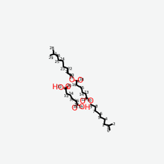 CC(C)CCCCCCCOC(=O)CCCCC(=O)OCCCCCCCC(C)C.O=C(O)CCCCC(=O)O